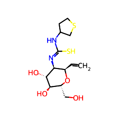 C=C[C@H]1O[C@H](CO)[C@@H](O)[C@H](O)[C@H]1/N=C(\S)NC1CCSC1